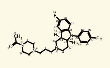 CC(=O)N1CCN(CCCN2CC[C@@H]3[C@@H](C2)c2cc(F)ccc2N3c2ccc(F)cc2)CC1